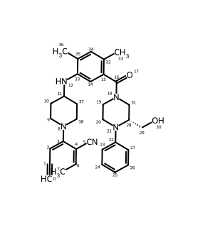 C#C/C=C(\C(C#N)=C/C)N1CCC(Nc2cc(C(=O)N3CCN(c4ccccc4)[C@@H](CO)C3)c(C)cc2C)CC1